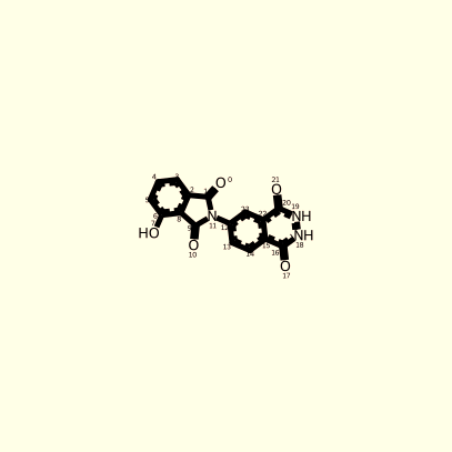 O=C1c2cccc(O)c2C(=O)N1c1ccc2c(=O)[nH][nH]c(=O)c2c1